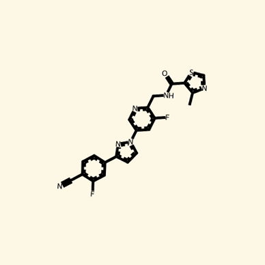 Cc1ncsc1C(=O)NCc1ncc(-n2ccc(-c3ccc(C#N)c(F)c3)n2)cc1F